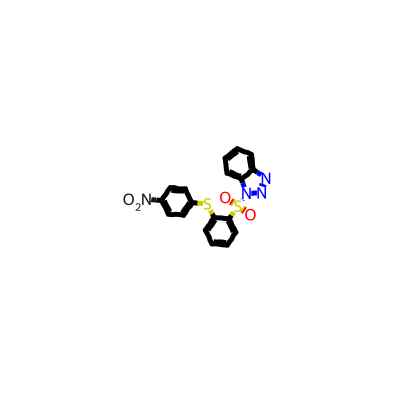 O=[N+]([O-])c1ccc(Sc2ccccc2S(=O)(=O)n2nnc3ccccc32)cc1